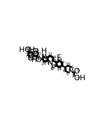 O=C(CO)N1CC=C(c2cc(F)c(-c3ccc4[nH]c(O[C@@H]5CO[C@H]6[C@@H]5OC[C@H]6O)cc4n3)c(F)c2)CC1